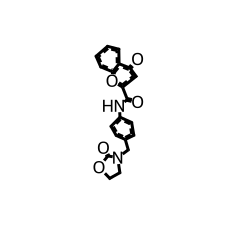 O=C(Nc1ccc(CN2CCOC2=O)cc1)c1cc(=O)c2ccccc2o1